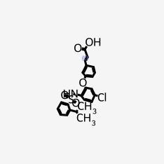 CC(C)c1ccccc1S(=O)(=O)Nc1ccc(Cl)cc1Oc1cccc(/C=C/C(=O)O)c1